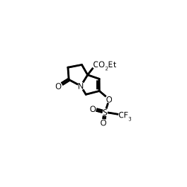 CCOC(=O)C12C=C(OS(=O)(=O)C(F)(F)F)CN1C(=O)CC2